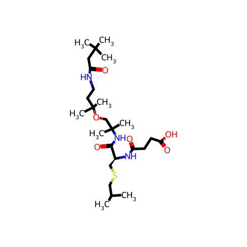 CC(C)CSC[C@H](NC(=O)CCC(=O)O)C(=O)NC(C)(C)COC(C)(C)CCNC(=O)CC(C)(C)C